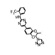 CC(Cn1cnnn1)Oc1cc(-c2cnc(Nc3ccccc3C(F)(F)F)nc2)ccc1Cl